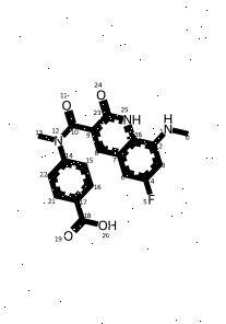 CNc1cc(F)cc2cc(C(=O)N(C)c3ccc(C(=O)O)cc3)c(=O)[nH]c12